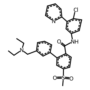 CCN(CC)Cc1cccc(-c2cc(S(C)(=O)=O)ccc2C(=O)Nc2ccc(Cl)c(-c3ccccn3)c2)c1